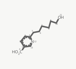 O=C(O)c1ccc(CCCCCCO)nc1